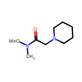 CON(C)C(=O)CN1CCCCC1